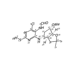 CCCSc1nc(Cl)c(NC=O)c(N[C@@H]2C[C@H](OC)[C@H]3OC(C)(C)C[C@H]32)n1